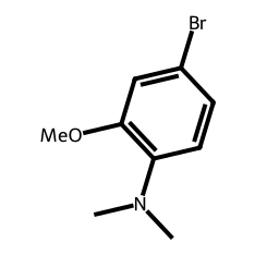 COc1cc(Br)ccc1N(C)C